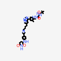 Cc1cc(-c2ncnn3cc(CCCCN4CC(c5ccc(NC6CCC(=O)NC6=O)cc5)C4)cc23)ccc1CNC(=O)c1noc(C(C)(C)C)n1